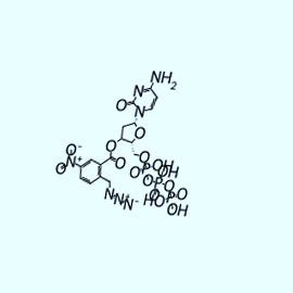 [N-]=[N+]=NCc1ccc([N+](=O)[O-])cc1C(=O)OC1C[C@H](n2ccc(N)nc2=O)O[C@@H]1COP(=O)(O)OP(=O)(O)OP(=O)(O)O